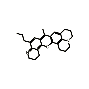 CCCc1cc2c(c3c1=NCCC3)Oc1c(cc3c4c1CCCN4CCC3)C=2C